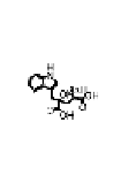 O=C(O)C([AsH2])CC(O)(Cc1c[nH]c2ccccc12)C(=O)O